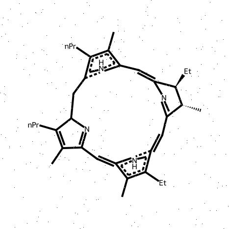 CCCC1=C(C)C2=NC1Cc1[nH]c(c(C)c1CCC)/C=C1N=C(/C=c3\[nH]/c(c(C)c3CC)=C\2)[C@@H](C)[C@@H]\1CC